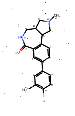 Cc1cc(-c2ccc3c(c2)C(=O)NCC2CN(C)CC32)ccc1F